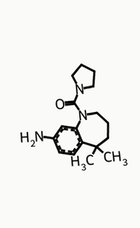 CC1(C)CCCN(C(=O)N2CCCC2)c2cc(N)ccc21